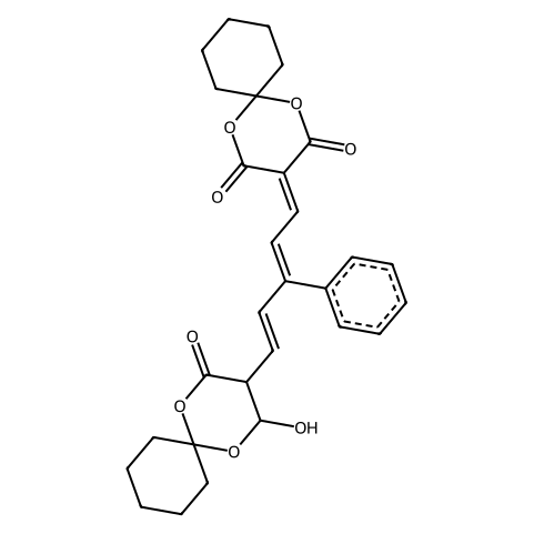 O=C1OC2(CCCCC2)OC(=O)C1=C/C=C(/C=C/C1C(=O)OC2(CCCCC2)OC1O)c1ccccc1